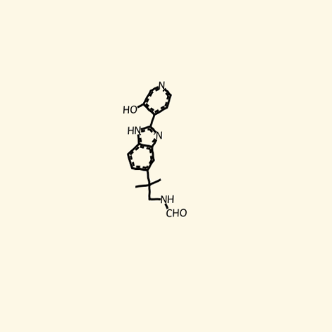 CC(C)(CNC=O)c1ccc2[nH]c(-c3ccncc3O)nc2c1